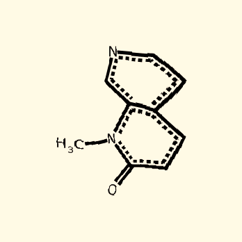 Cn1c(=O)ccc2ccncc21